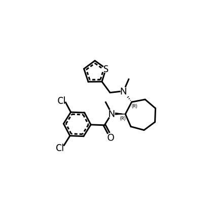 CN(Cc1cccs1)[C@@H]1CCCCC[C@H]1N(C)C(=O)c1cc(Cl)cc(Cl)c1